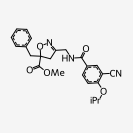 COC(=O)C1(Cc2ccccc2)CC(CNC(=O)c2ccc(OC(C)C)c(C#N)c2)=NO1